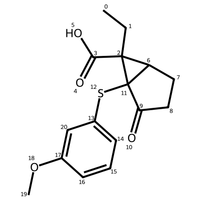 CCC1(C(=O)O)C2CCC(=O)C21Sc1cccc(OC)c1